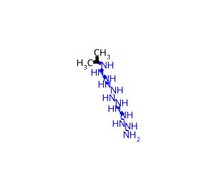 CC(C)NNNNNNNNNNNN